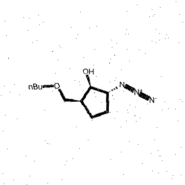 CCCCOC[C@@H]1CC[C@@H](N=[N+]=[N-])[C@@H]1O